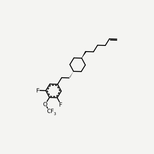 C=CCCCC[C@H]1CC[C@H](CCc2cc(F)c(OC(F)(F)F)c(F)c2)CC1